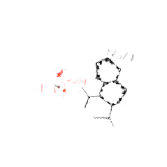 CC(C)c1ccc2ccccc2c1C(C)C.O=S(=O)(O)O.[NaH]